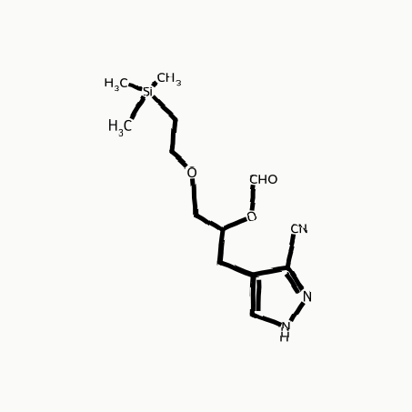 C[Si](C)(C)CCOCC(Cc1c[nH]nc1C#N)OC=O